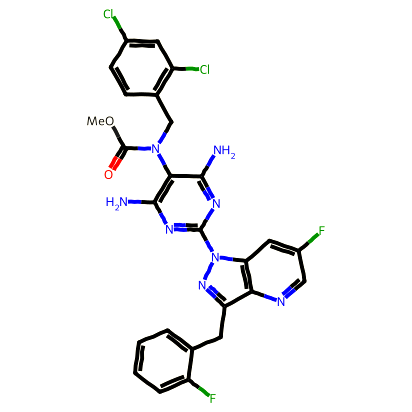 COC(=O)N(Cc1ccc(Cl)cc1Cl)c1c(N)nc(-n2nc(Cc3ccccc3F)c3ncc(F)cc32)nc1N